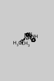 CN(C)CCCNc1nccn2nc(Nc3ccccc3)nc12